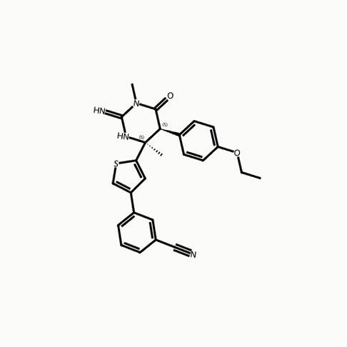 CCOc1ccc([C@@H]2C(=O)N(C)C(=N)N[C@]2(C)c2cc(-c3cccc(C#N)c3)cs2)cc1